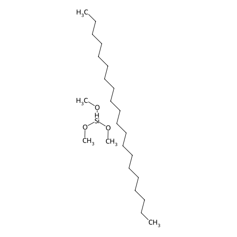 CCCCCCCCCCCCCCCCCCCC.CO[SiH](OC)OC